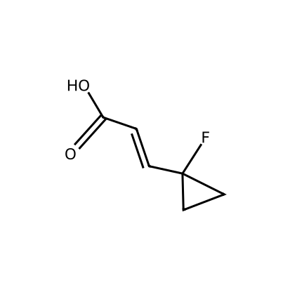 O=C(O)C=CC1(F)CC1